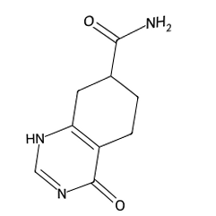 NC(=O)C1CCc2c([nH]cnc2=O)C1